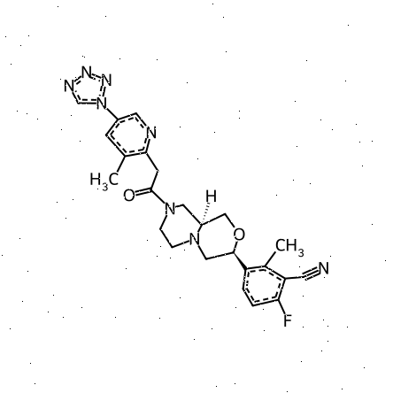 Cc1cc(-n2cnnn2)cnc1CC(=O)N1CCN2C[C@H](c3ccc(F)c(C#N)c3C)OC[C@@H]2C1